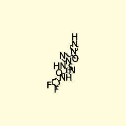 Cc1nsc(Nc2cncc(C(=O)N3CCNCC3)n2)c1C(=O)Nc1ccc(F)c(F)c1